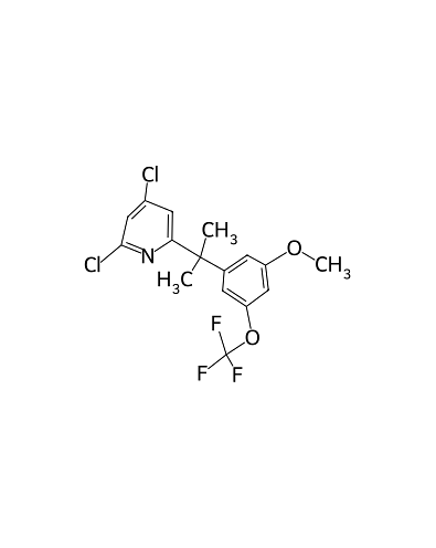 COc1cc(OC(F)(F)F)cc(C(C)(C)c2cc(Cl)cc(Cl)n2)c1